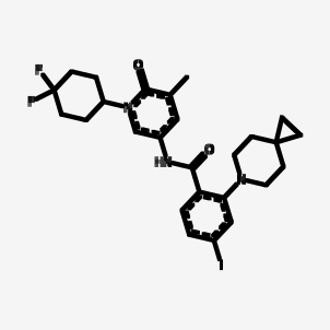 Cc1cc(NC(=O)c2ccc(I)cc2N2CCC3(CC2)CC3)cn(C2CCC(F)(F)CC2)c1=O